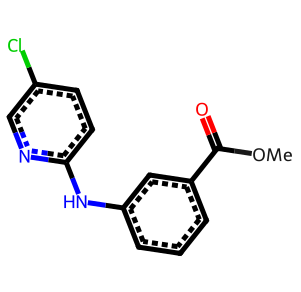 COC(=O)c1cccc(Nc2ccc(Cl)cn2)c1